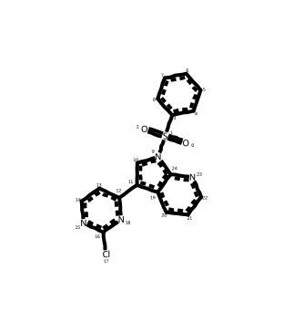 O=S(=O)(c1ccccc1)n1cc(-c2ccnc(Cl)n2)c2cccnc21